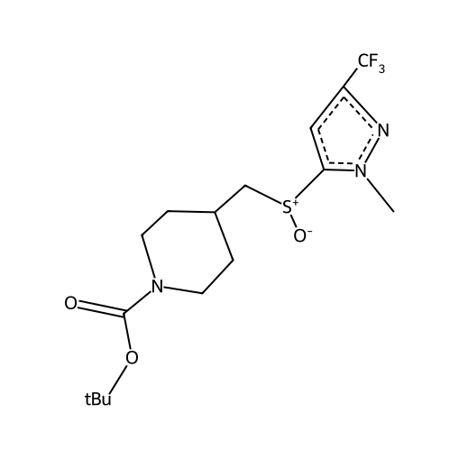 Cn1nc(C(F)(F)F)cc1[S+]([O-])CC1CCN(C(=O)OC(C)(C)C)CC1